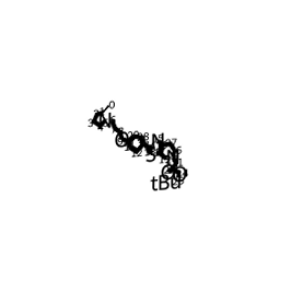 C[C@@H]1CCCN1CCCOc1ccc(-c2nc3c(s2)CN(CC(=O)OC(C)(C)C)CC3)cc1